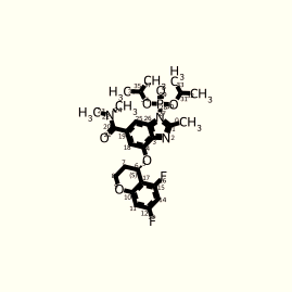 Cc1nc2c(O[C@H]3CCOc4cc(F)cc(F)c43)cc(C(=O)N(C)C)cc2n1P(=O)(OC(C)C)OC(C)C